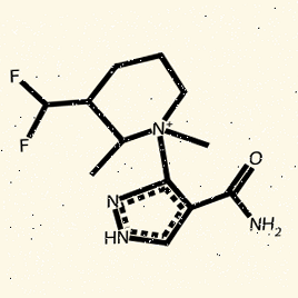 CC1C(C(F)F)CCC[N+]1(C)c1n[nH]cc1C(N)=O